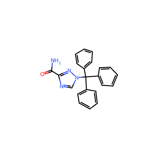 NC(=O)c1ncn(C(c2ccccc2)(c2ccccc2)c2ccccc2)n1